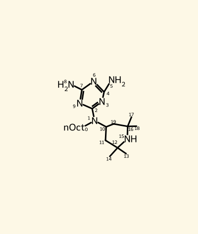 CCCCCCCCN(c1nc(N)nc(N)n1)C1CC(C)(C)NC(C)(C)C1